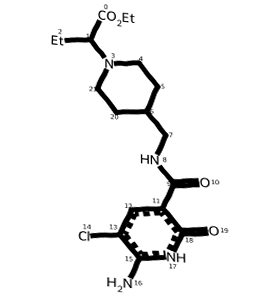 CCOC(=O)C(CC)N1CCC(CNC(=O)c2cc(Cl)c(N)[nH]c2=O)CC1